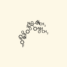 C=CC(=O)Nc1cccc(-c2c(-c3cnn(C)c3)oc3ncnc(Oc4ccc(NC(=O)c5cccn(-c6ccc(F)cc6)c5=O)cc4)c23)c1